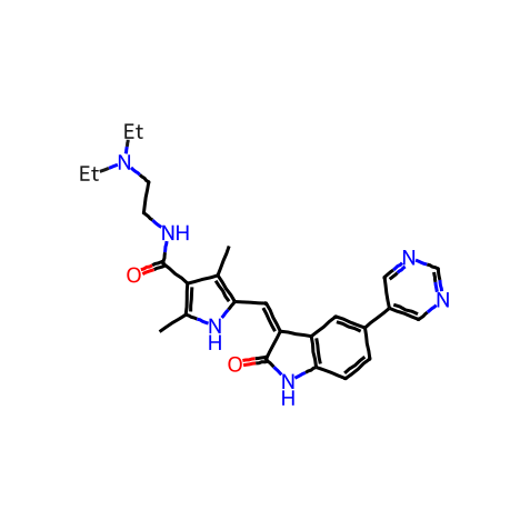 CCN(CC)CCNC(=O)c1c(C)[nH]c(/C=C2\C(=O)Nc3ccc(-c4cncnc4)cc32)c1C